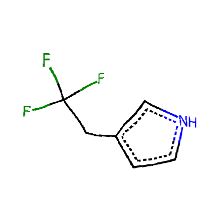 FC(F)(F)Cc1cc[nH]c1